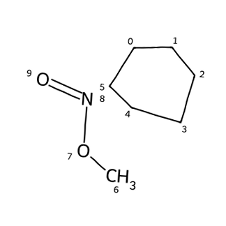 C1CCCCC1.CON=O